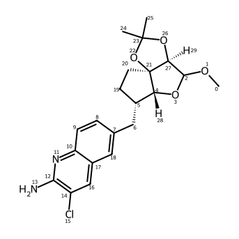 COC1O[C@@H]2[C@H](Cc3ccc4nc(N)c(Cl)cc4c3)CC[C@@]23OC(C)(C)O[C@@H]13